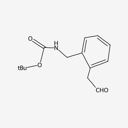 CC(C)(C)OC(=O)NCc1ccccc1CC=O